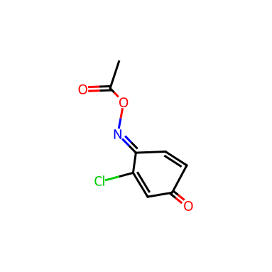 CC(=O)ON=C1C=CC(=O)C=C1Cl